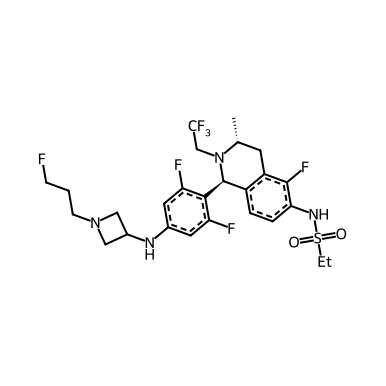 CCS(=O)(=O)Nc1ccc2c(c1F)C[C@@H](C)N(CC(F)(F)F)[C@@H]2c1c(F)cc(NC2CN(CCCF)C2)cc1F